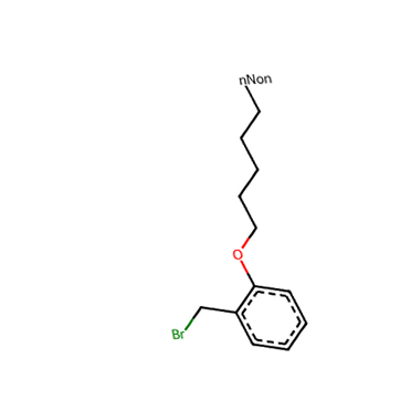 CCCCCCCCCCCCCCOc1ccccc1CBr